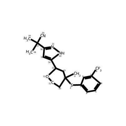 CC1(Sc2cccc(C(F)(F)F)c2)CCOC(c2cc(C(C)(C)C#N)n[nH]2)C1